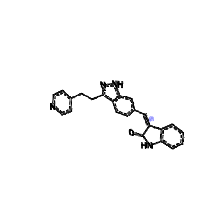 O=C1Nc2ccccc2/C1=C/c1ccc2c(CCc3ccncc3)n[nH]c2c1